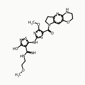 COCCNC(=N)c1c(O)nsc1Nc1nc(OC)c(C(=O)N2CCc3nc4c(cc32)OCCN4)s1